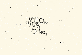 NC1(COCC(C2CCCCC2)[N+](=O)[O-])c2cc(Br)ccc2Oc2cnc(Cl)cc21